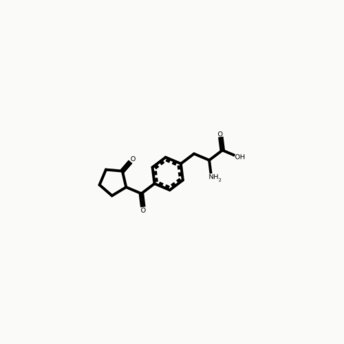 NC(Cc1ccc(C(=O)C2CCCC2=O)cc1)C(=O)O